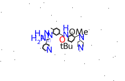 COc1c(CN(C)C2CCN(C)CC2)cc(C(C)(C)C)cc1NC(=O)c1ccc(C)c(N(N)/C=C(\N)c2cccnc2)c1